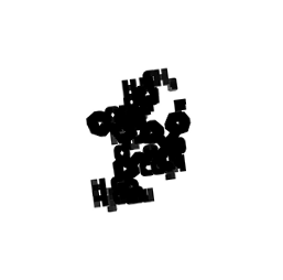 COc1ccccc1-c1nccc(COc2ccc(O[Si](C)(C)C(C)(C)C)cc2CC(Oc2ncnc3oc(-c4ccc(F)cc4)c(-c4ccc(OC(CO)CN5CCN(C)CC5)c(Cl)c4)c23)C(=O)O)n1